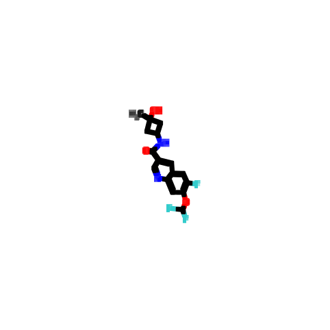 CC1(O)CC(NC(=O)c2cnc3cc(OC(F)F)c(F)cc3c2)C1